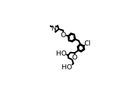 CN1CC(COc2ccc(Cc3cc(C4CC(O)CC(CO)O4)ccc3Cl)cc2)C1